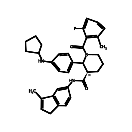 CC1=CCc2ccc(NC(=O)[C@H]3CCCN(C(=O)c4c(C)cccc4F)C3c3ccc(NC4CCCC4)cc3)cc21